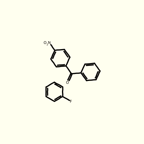 Fc1cc[c]cc1.O=C(c1ccccc1)c1ccc([N+](=O)[O-])cc1